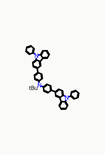 CC(C)(C)N(c1ccc(-c2ccc3c(c2)c2ccccc2n3-c2ccccc2)cc1)c1ccc(-c2ccc3c(c2)c2ccccc2n3-c2ccccc2)cc1